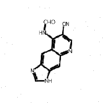 N#Cc1cnc2cc3[nH]cnc3cc2c1NC=O